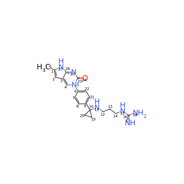 Cc1cc2cn(-c3ccc(C4(NCCCNC(=N)N)CC4)cc3)c(=O)nc2[nH]1